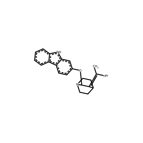 CCCC(C)=C1C2CCN(CC2)C1Oc1ccc2c(c1)[nH]c1ccccc12